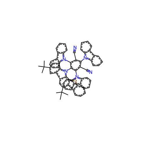 CC(C)(C)c1ccc2c(c1)c1cc(C(C)(C)C)c3c4ccccc4sc3c1n2-c1c(-n2c3ccccc3c3ccccc32)c(C#N)c(-n2c3ccccc3c3ccccc32)c(C#N)c1-n1c2ccccc2c2ccccc21